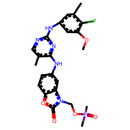 COc1cc(Nc2ncc(C)c(Nc3ccc4oc(=O)n(COP(C)(C)=O)c4c3)n2)cc(C)c1F